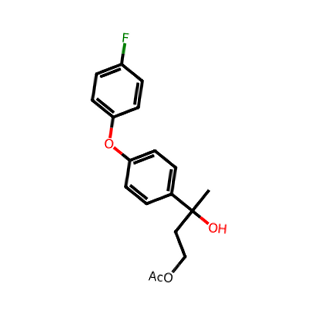 CC(=O)OCCC(C)(O)c1ccc(Oc2ccc(F)cc2)cc1